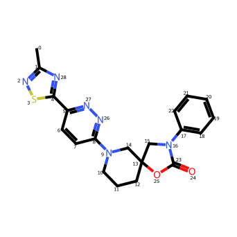 Cc1nsc(-c2ccc(N3CCCC4(C3)CN(c3ccccc3)C(=O)O4)nn2)n1